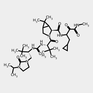 CNC(=O)C(=O)C(CC1CC1)NC(=O)[C@@H]1C2C(CN1C(=O)[C@@H](NC(=O)N[C@H](CN1CCN(C(C)C)C1=O)C(C)(C)C)C(C)(C)C)C2(C)C